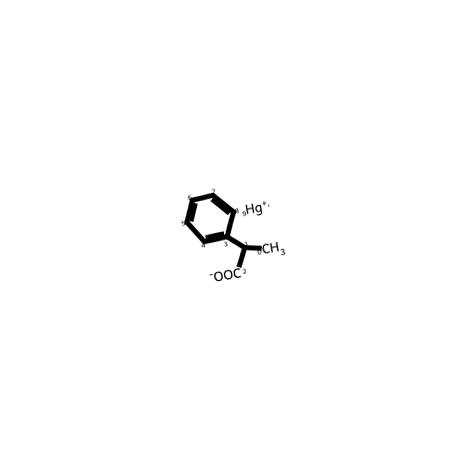 CC(C(=O)[O-])c1ccccc1.[Hg+]